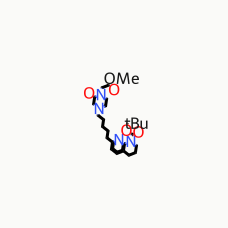 COC(=O)CN1CCN(CCCCCc2ccc3c(n2)N(C(=O)OC(C)(C)C)CCC3)CC1=O